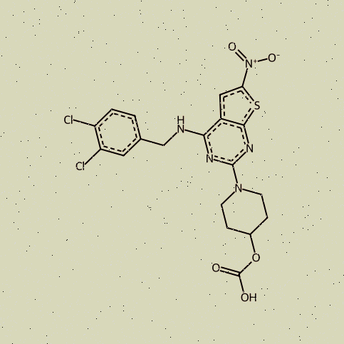 O=C(O)OC1CCN(c2nc(NCc3ccc(Cl)c(Cl)c3)c3cc([N+](=O)[O-])sc3n2)CC1